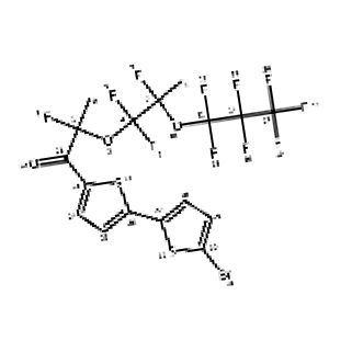 CC(F)(OC(F)(F)C(C)(F)OC(F)(F)C(F)(F)C(F)(F)F)C(=O)c1ccc(-c2ccc(Br)s2)s1